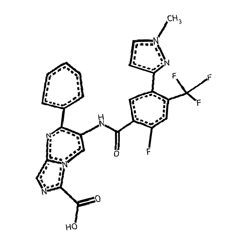 Cn1ccc(-c2cc(C(=O)Nc3cn4c(C(=O)O)ncc4nc3-c3ccccc3)c(F)cc2C(F)(F)F)n1